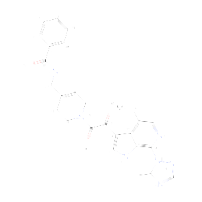 COc1cnc(N2NC=NC2C)c2[nH]cc(C(=O)C(=O)N3CC=C(CNC(=O)c4ccccc4)CC3)c12